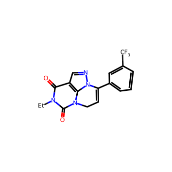 CCn1c(=O)c2cnn3c2n(c1=O)CC=C3c1cccc(C(F)(F)F)c1